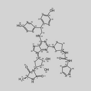 C[C@@H]1NC(=O)N([C@H]2C[C@@H](n3cnc4c(NCC(c5ccc(O)cc5)c5ccc(O)cc5)nc(N5CC[C@@H](NC(=O)Nc6cccnc6)C5)nc43)[C@H](O)[C@@H]2O)C1=O